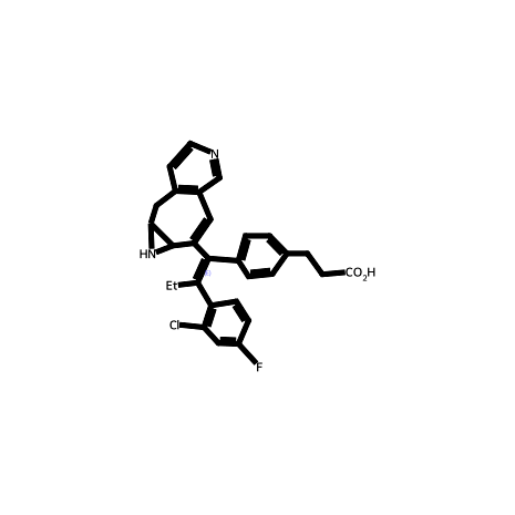 CC/C(=C(\C1=Cc2cnccc2CC2NC12)c1ccc(CCC(=O)O)cc1)c1ccc(F)cc1Cl